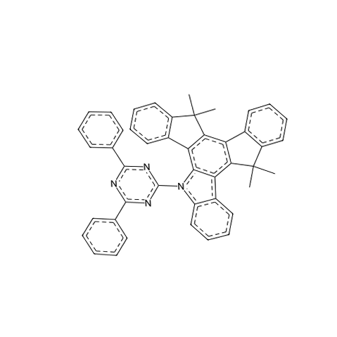 CC1(C)c2ccccc2-c2c1c1c(c3c4ccccc4n(-c4nc(-c5ccccc5)nc(-c5ccccc5)n4)c23)C(C)(C)c2ccccc2-1